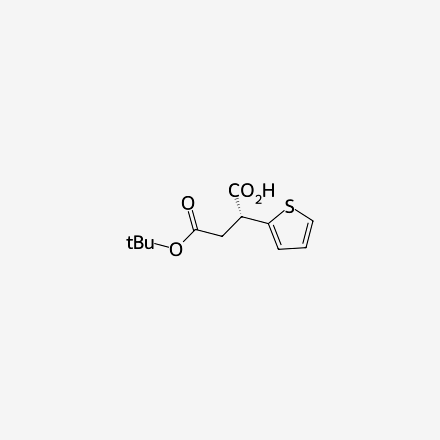 CC(C)(C)OC(=O)C[C@H](C(=O)O)c1cccs1